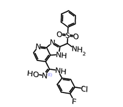 NC(c1nc2nccc(/C(=N\O)Nc3ccc(F)c(Cl)c3)c2[nH]1)S(=O)(=O)c1ccccc1